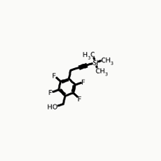 C[Si](C)(C)C#CCc1c(F)c(F)c(CO)c(F)c1F